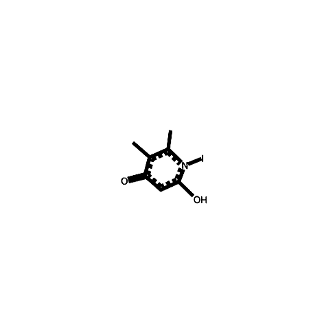 Cc1c(C)n(I)c(O)cc1=O